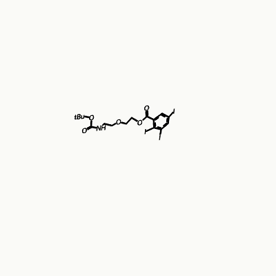 CC(C)(C)OC(=O)NCCOCCOC(=O)c1cc(I)cc(I)c1I